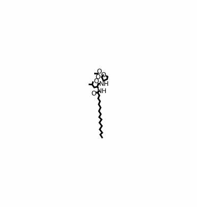 CCCCCCCCCCCCCCCC(=O)NC(CC(C)C)C(=O)N[C@H]1CCO[C@H]1OC(C)=O